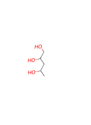 CC(O)C[C](O)CO